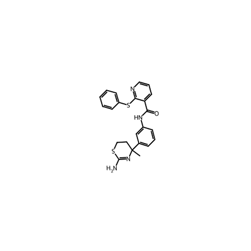 CC1(c2cccc(NC(=O)c3cccnc3Sc3ccccc3)c2)CCSC(N)=N1